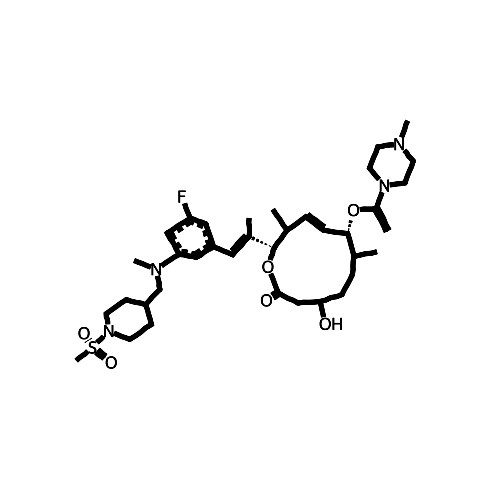 C=C(O[C@H]1/C=C/C(C)[C@@H](/C(C)=C/c2cc(F)cc(N(C)CC3CCN(S(C)(=O)=O)CC3)c2)OC(=O)CC(O)CCC1C)N1CCN(C)CC1